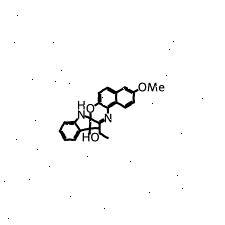 COc1ccc2c3c(ccc2c1)OC1(Nc2ccccc2C1(C)C)C(C(C)O)=N3